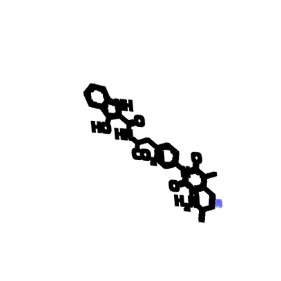 C=C(N)/C=C\c1[nH]c(=O)n(-c2ccc(CC(NC(=O)c3[nH]c4ccccc4c3O)C(=O)O)cc2)c(=O)c1C